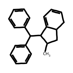 CC1CC2CC=CC=C2C1C(c1ccccc1)c1ccccc1